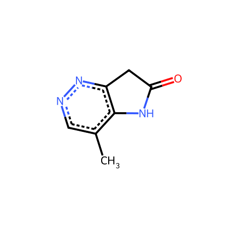 Cc1cnnc2c1NC(=O)C2